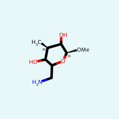 CO[C@H]1OC(CN)C(O)[C@@H](C)C1O